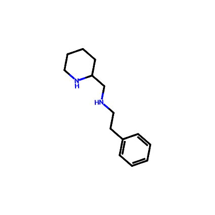 c1ccc(CCNCC2CCCCN2)cc1